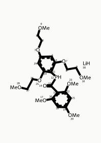 COCCOc1cc(OCCOC)c(PC(=O)c2c(OC)cc(OC)cc2OC)c(OCCOC)c1.[LiH]